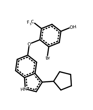 Oc1cc(Br)c(Oc2ccc3[nH]cc(C4CCCC4)c3c2)c(C(F)(F)F)c1